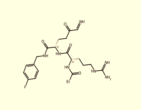 CCC(=O)N[C@@H](CCCNC(=N)N)C(=O)N[C@@H](CCC(=O)C=N)C(=O)NCc1ccc(F)cc1